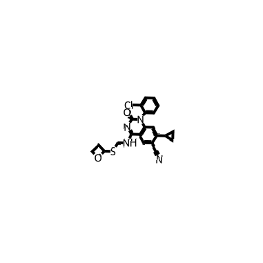 N#Cc1cc2c(NCSC3CCO3)nc(=O)n(-c3ccccc3Cl)c2cc1C1CC1